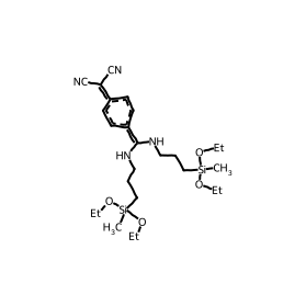 CCO[Si](C)(CCCNC(NCCC[Si](C)(OCC)OCC)=c1ccc(=C(C#N)C#N)cc1)OCC